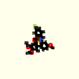 COc1ccc2c(c1)N(Cc1ccc(F)cc1)S(=O)(=O)c1cc(OC)c(OC)cc1-2